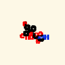 COc1ccc(C(OC[C@@H]2O[C@H](n3c(=O)cc[nH]c3=O)C[C@H]2O)(c2ccccc2)c2ccc(OC)cc2)cc1